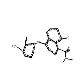 Cc1c(Nc2ccc(C(=O)N(C)C)c3c(Cl)cccc23)cccc1C(F)(F)F